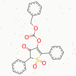 O=C(OCc1ccccc1)OC1=C(c2ccccc2)S(=O)(=O)C(c2ccccc2)C1=O